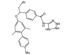 Cc1cc(OC(CC(C)C)c2ccc(C(=O)NC3=NNNN3)cc2)cc(C)c1-c1ccc(C(C)(C)C)cc1